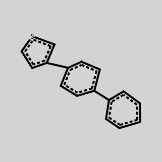 [c]1cc(-c2ccccc2)ccc1-c1ccsc1